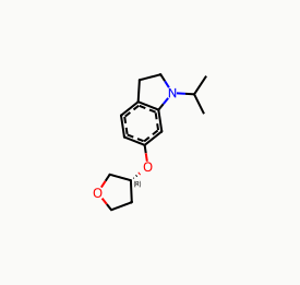 CC(C)N1CCc2ccc(O[C@@H]3CCOC3)cc21